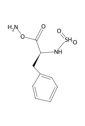 NOC(=O)[C@H](Cc1ccccc1)N[SH](=O)=O